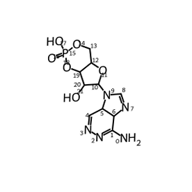 NC1=NN=CC2C1N=CN2C1OC2COP(=O)(O)OC2C1O